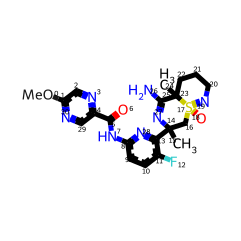 COc1cnc(C(=O)Nc2ccc(F)c(C3(C)CS4(=O)=NCCCC4(C)C(N)=N3)n2)cn1